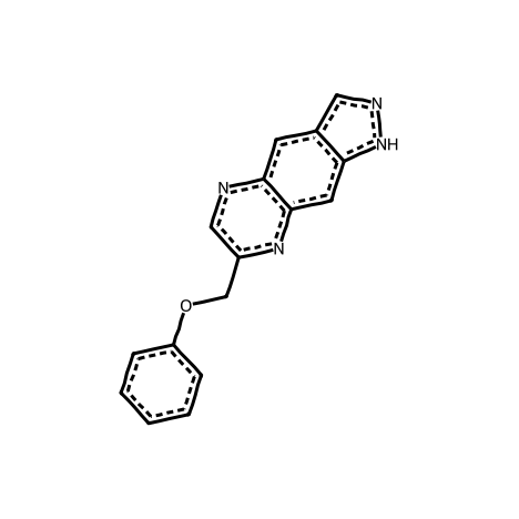 c1ccc(OCc2cnc3cc4cn[nH]c4cc3n2)cc1